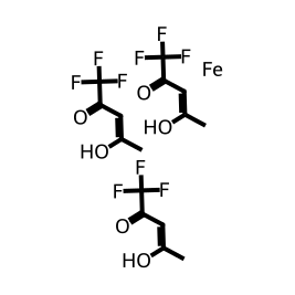 CC(O)=CC(=O)C(F)(F)F.CC(O)=CC(=O)C(F)(F)F.CC(O)=CC(=O)C(F)(F)F.[Fe]